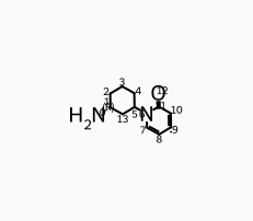 N[C@@H]1CCCC(n2cc[c]cc2=O)C1